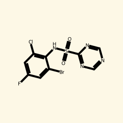 O=S(=O)(Nc1c(Cl)cc(F)cc1Br)c1ncncn1